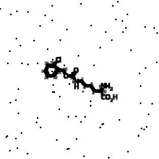 N[C@@H](CCCCNC(=O)OCc1ccccc1Cl)C(=O)O